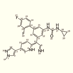 Cn1cc(C2=CN/C(=C(\C=N)c3cc(NC(=O)NC4CC4)cc(-c4ccc(F)cc4F)c3)C=C2)cn1